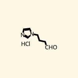 Cl.O=CCCCn1ccnc1